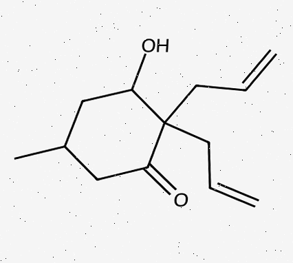 C=CCC1(CC=C)C(=O)CC(C)CC1O